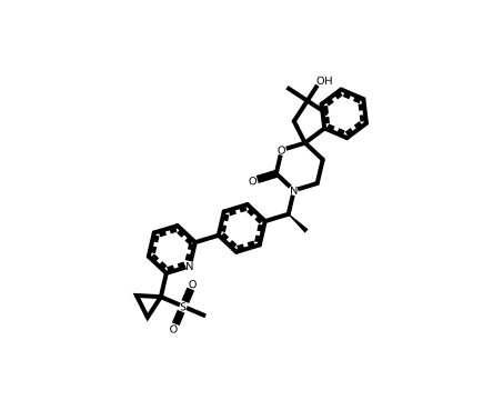 C[C@@H](c1ccc(-c2cccc(C3(S(C)(=O)=O)CC3)n2)cc1)N1CCC(CC(C)(C)O)(c2ccccc2)OC1=O